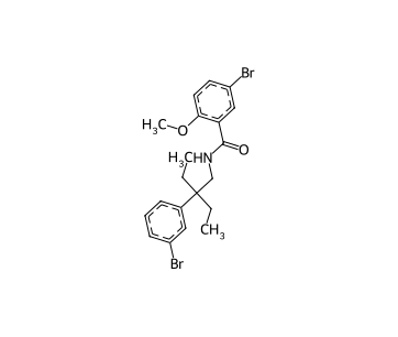 CCC(CC)(CNC(=O)c1cc(Br)ccc1OC)c1cccc(Br)c1